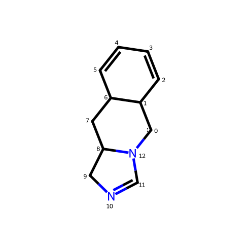 [C]1C2C=CC=CC2CC2CN=CN12